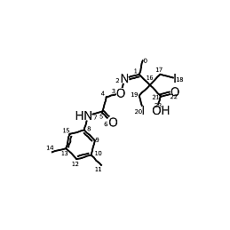 CC(=NOCC(=O)Nc1cc(C)cc(C)c1)C(CI)(CI)C(=O)O